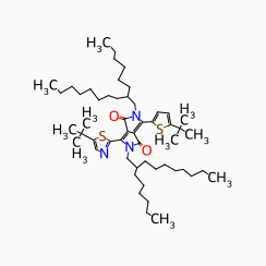 CCCCCCCCC(CCCCCC)CN1C(=O)C2=C(c3ncc(C(C)(C)C)s3)N(CC(CCCCCC)CCCCCCCC)C(=O)C2=C1c1ccc(C(C)(C)C)s1